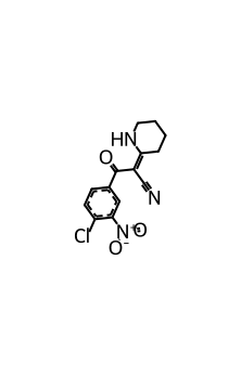 N#CC(C(=O)c1ccc(Cl)c([N+](=O)[O-])c1)=C1CCCCN1